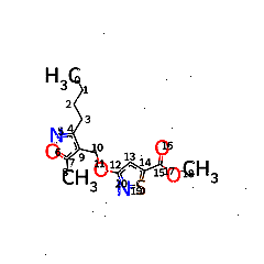 CCCCc1noc(C)c1COc1cc(C(=O)OC)sn1